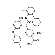 COC(=O)c1ccc(CC(=O)N(Nc2ccc(Oc3ccc(F)cc3)cc2)c2c(C)cccc2N2CCCCC2)cc1OC